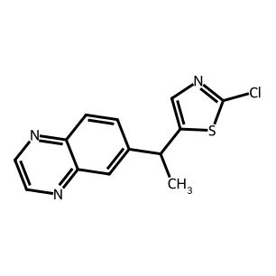 CC(c1ccc2nccnc2c1)c1cnc(Cl)s1